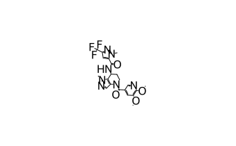 COc1cc(C(=O)N2CCC(NC(=O)c3cc(C(F)(F)F)nn3C)c3c2cnn3C)cnc1OC